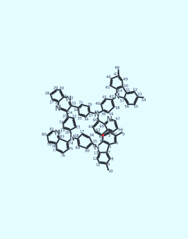 Cc1ccc2c(c1)c1cc(C)ccc1n2-c1ccc(N(c2ccc(-c3nc4ccccc4nc3-c3ccc(N(c4ccc(-n5c6ccc(C)cc6c6cc(C)ccc65)cc4)c4cccc5cccnc45)cc3)cc2)c2cccc3cccnc23)cc1